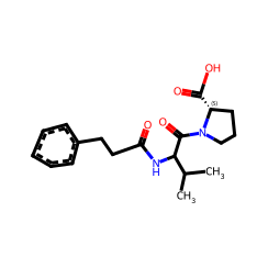 CC(C)C(NC(=O)CCc1ccccc1)C(=O)N1CCC[C@H]1C(=O)O